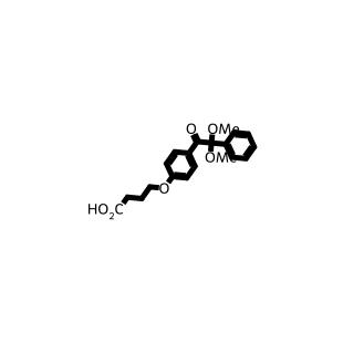 COC(OC)(C(=O)c1ccc(OCCCC(=O)O)cc1)c1ccccc1